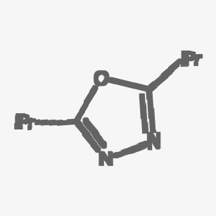 CC(C)c1nnc(C(C)C)o1